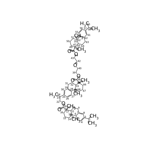 CC(C)C1=CCC2C(=C1)CCC1[C@]2(C)CCC[C@]1(C)C(=O)OCC(C)c1ccc2c(c1)CCC1[C@](C)(C(=O)OCCOCCOC(=O)[C@@]3(C)CCC[C@]4(C)c5ccc(C(C)C)cc5CCC34)CCC[C@@]21C